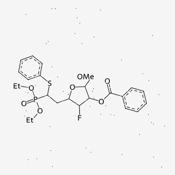 CCOP(=O)(OCC)C(CC1OC(OC)C(OC(=O)c2ccccc2)C1F)Sc1ccccc1